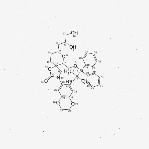 CC(C)(C)[Si](OCC1OC(CC(O)CO)CCC12CN(c1ccc3c(c1)OCCO3)C(=O)O2)(c1ccccc1)c1ccccc1